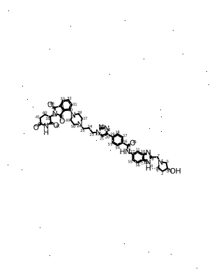 C[C@H]1C[C@H](O)CN1Cc1nc2cc(NC(=O)c3ccc(-c4cn(CCCN5CCN(c6cccc7c6C(=O)N(C6CCC(=O)NC6=O)C7=O)CC5)nn4)cc3)ccc2[nH]1